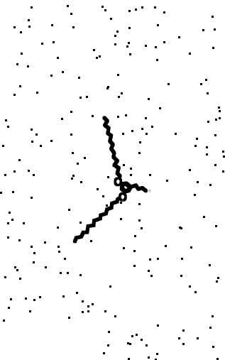 [CH2]CCCc1cc(OCCCCCCCCCCCCCCCC)cc(OCCCCCCCCCCCCCCCC)c1